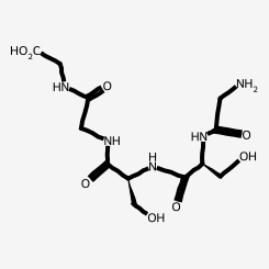 NCC(=O)N[C@@H](CO)C(=O)N[C@@H](CO)C(=O)NCC(=O)NCC(=O)O